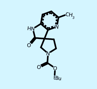 Cc1ccc2c(n1)C1(CCN(C(=O)OC(C)(C)C)C1)C(=O)N2